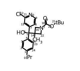 CC(C)c1ccc([C@](O)(c2ccnc(Cl)c2)C2(C)CN(C(=O)OC(C)(C)C)C2)cc1